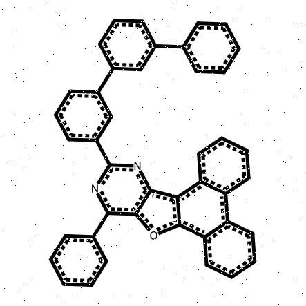 c1ccc(-c2cccc(-c3cccc(-c4nc(-c5ccccc5)c5oc6c7ccccc7c7ccccc7c6c5n4)c3)c2)cc1